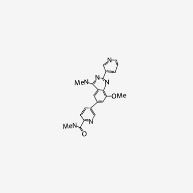 CNC(=O)c1ccc(-c2cc(OC)c3nc(-c4cccnc4)nc(NC)c3c2)cn1